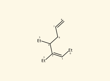 [CH2]CC=C(CC)C(CC)CC=C